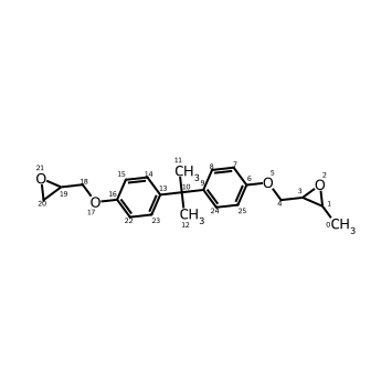 CC1OC1COc1ccc(C(C)(C)c2ccc(OCC3CO3)cc2)cc1